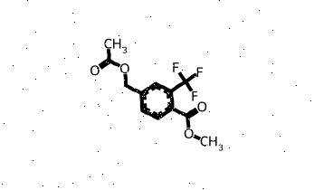 COC(=O)c1ccc(COC(C)=O)cc1C(F)(F)F